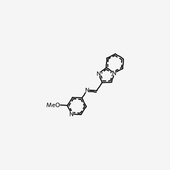 COc1cc(/N=C/c2cn3ccccc3n2)ccn1